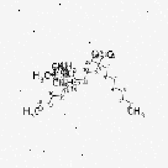 CCCCCCCCC1(CCCC(CCCCCCC)O[Si](C)(C)C(C)(C)C)COC1=O